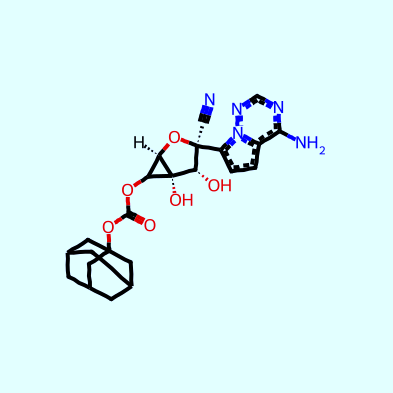 N#C[C@@]1(c2ccc3c(N)ncnn23)O[C@@H]2C(OC(=O)OC34CC5CC(CC(C5)C3)C4)[C@]2(O)[C@H]1O